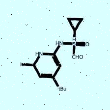 CC(C)(C)C1=CC(I)NC(N[SH](=O)(C=O)C2CC2)=C1